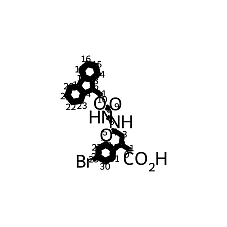 O=C(O)CC(CC(=O)NNC(=O)OCC1c2ccccc2-c2ccccc21)c1ccc(Br)cc1